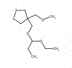 CCOC(CC)OCC1(COC)CSSC1